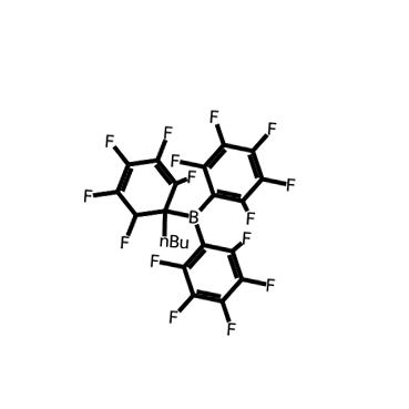 CCCCC1(B(c2c(F)c(F)c(F)c(F)c2F)c2c(F)c(F)c(F)c(F)c2F)C(F)=C(F)C(F)=C(F)C1F